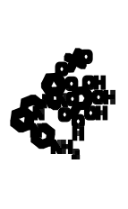 CC1(COc2ccc3c(ncn3-c3ccc4cccc(N5CCC(N)CC5)c4n3)c2OC2OC(C(=O)O)C(O)C(O)C2O)COC1